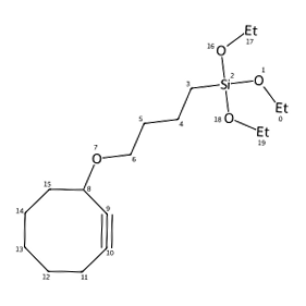 CCO[Si](CCCCOC1C#CCCCCC1)(OCC)OCC